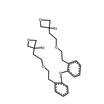 CCC1(CCOCCc2ccccc2Oc2ccccc2CCOCCC2(CC)COC2)COC1